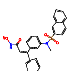 CN(c1cccc(/C(=C\C(=O)NO)c2ccccc2)c1)S(=O)(=O)c1ccc2ccccc2c1